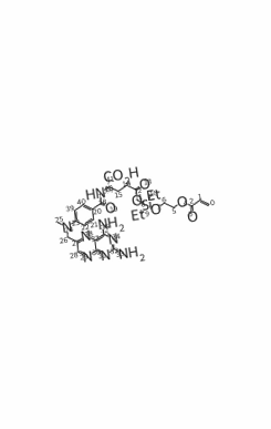 C=CC(=O)OCCO[Si](CC)(CC)OC(=O)CC[C@H](NC(=O)c1ccc(N(C)Cc2cnc3nc(N)nc(N)c3n2)cc1)C(=O)O